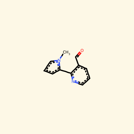 Cn1cccc1-c1ncccc1C=O